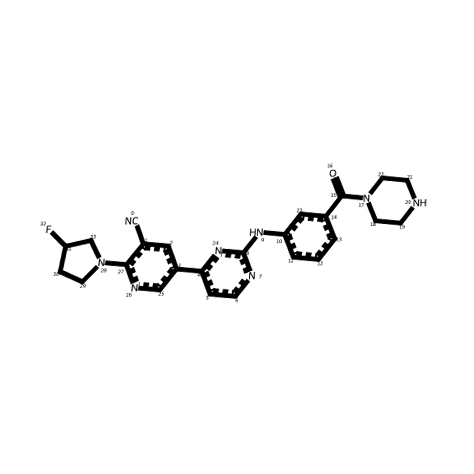 N#Cc1cc(-c2ccnc(Nc3cccc(C(=O)N4CCNCC4)c3)n2)cnc1N1CCC(F)C1